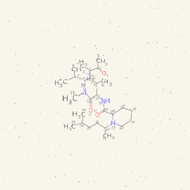 CC(=O)/C(C)=C/C(C(C)C)N(C)C(=O)C(NC(=O)C1CCCCN1C(C)CCC(C)C)C(C)C